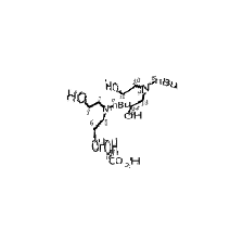 CCCCN(CCO)CCO.CCCCN(CCO)CCO.O=C(O)O